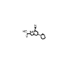 N#Cc1cc(-c2ccccc2)cc2cc(C(=O)O)nn12